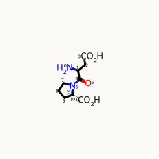 NC(CC(=O)O)C(=O)N1CCC[C@H]1C(=O)O